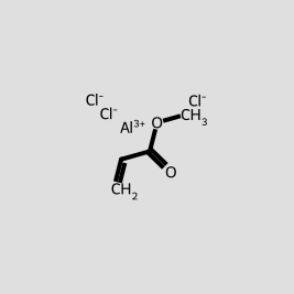 C=CC(=O)OC.[Al+3].[Cl-].[Cl-].[Cl-]